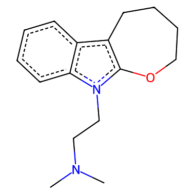 CN(C)CCn1c2c(c3ccccc31)CCCCO2